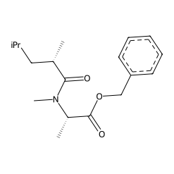 CC(C)C[C@H](C)C(=O)N(C)[C@@H](C)C(=O)OCc1ccccc1